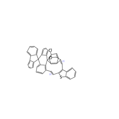 Clc1ccc2c(c1)C13OC/C2=C\c2c(sc4ccccc24)/C=C/c2cccc(c21)C1(c2ccccc2-c2ccccc21)c1ccccc13